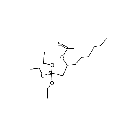 CCCCCCC(C[Si](OCC)(OCC)OCC)OC(C)=S